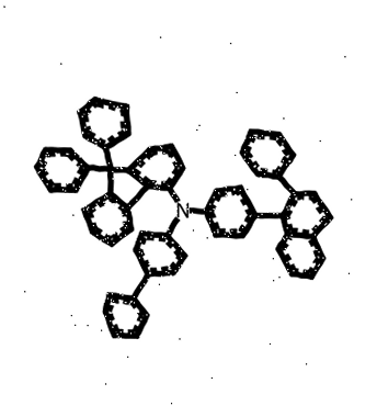 c1ccc(-c2ccc(N(c3ccc(-c4c(-c5ccccc5)ccc5ccccc45)cc3)c3cccc4c3-c3ccccc3C4(c3ccccc3)c3ccccc3)cc2)cc1